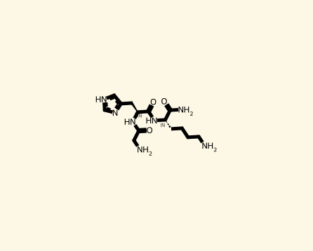 NCCCC[C@H](NC(=O)[C@H](Cc1c[nH]cn1)NC(=O)CN)C(N)=O